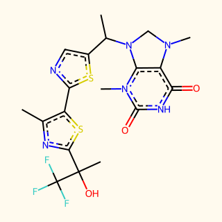 Cc1nc(C(C)(O)C(F)(F)F)sc1-c1ncc(C(C)N2CN(C)c3c2n(C)c(=O)[nH]c3=O)s1